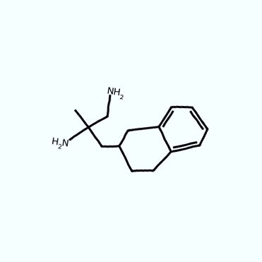 CC(N)(CN)CC1CCc2ccccc2C1